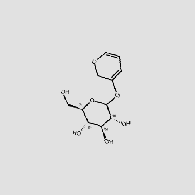 OC[C@H]1OC(OC2=CC=COC2)[C@H](O)[C@@H](O)[C@@H]1O